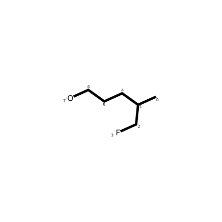 CC(CF)CCC[O]